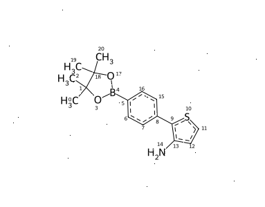 CC1(C)OB(c2ccc(-c3sccc3N)cc2)OC1(C)C